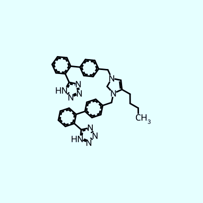 CCCCC1=CN(Cc2ccc(-c3ccccc3-c3nnn[nH]3)cc2)CN1Cc1ccc(-c2ccccc2-c2nnn[nH]2)cc1